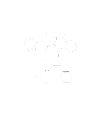 CC(C(=O)O)c1cccc(C(=O)c2ccccc2)c1.CN1C(C(=O)Nc2ccccn2)=C(O)c2ccccc2S1(=O)=O